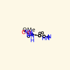 COC(=O)NCC(=O)N1CCCC1c1ncc(C#Cc2ccc(-c3ccc(-c4cnc[nH]4)cc3)c3c2CCC32CCCC2)[nH]1